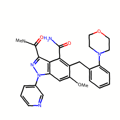 CNC(=O)c1nn(-c2cccnc2)c2cc(OC)c(Cc3ccccc3N3CCOCC3)c(C(N)=O)c12